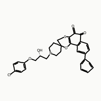 O=C1C(=O)c2ccc(-c3ccccc3)cc2C2=C1SCC1(CCN(C[C@@H](O)COc3ccc(Cl)cc3)CC1)O2